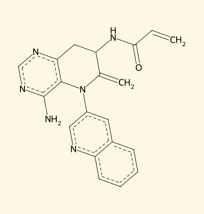 C=CC(=O)NC1Cc2ncnc(N)c2N(c2cnc3ccccc3c2)C1=C